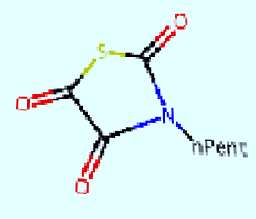 [CH2]CCCCN1C(=O)SC(=O)C1=O